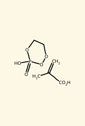 C=C(C)C(=O)O.O=P1(O)OCCOO1